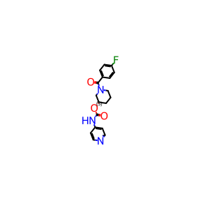 O=C(Nc1ccncc1)O[C@H]1CCCN(C(=O)c2ccc(F)cc2)C1